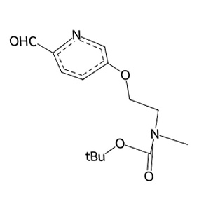 CN(CCOc1ccc(C=O)nc1)C(=O)OC(C)(C)C